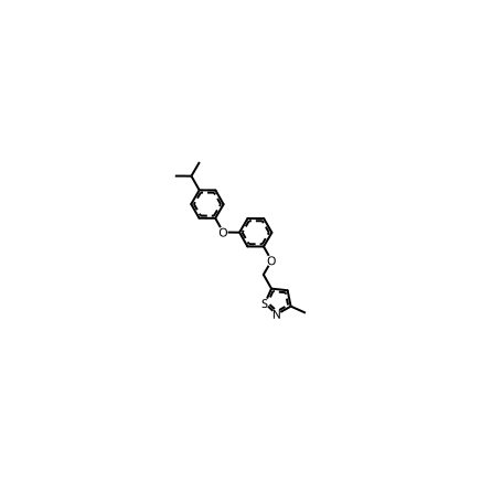 Cc1cc(COc2cccc(Oc3ccc(C(C)C)cc3)c2)sn1